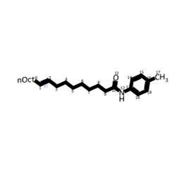 CCCCCCCC/C=C/CCCCCCCC(=O)Nc1ccc(C)cc1